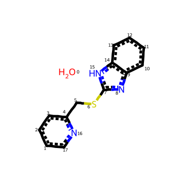 O.c1ccc(CSc2nc3ccccc3[nH]2)nc1